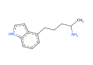 CC(N)CCCc1cccc2[nH]ccc12